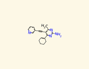 Cc1nc(N)nc(C2=CCCCC2)c1C#Cc1cccnc1